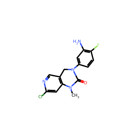 CN1C(=O)N(c2ccc(F)c(N)c2)Cc2cnc(Cl)cc21